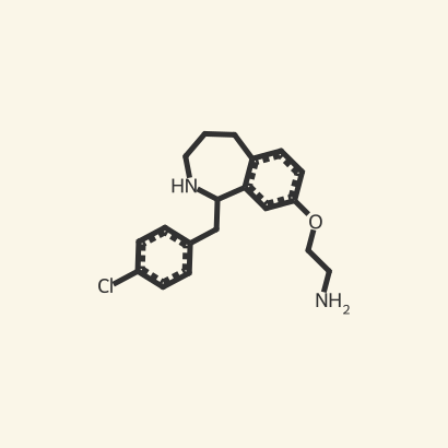 NCCOc1ccc2c(c1)C(Cc1ccc(Cl)cc1)NCCC2